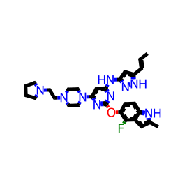 C/C=C/c1cc(Nc2cc(N3CCN(CCN4CCCC4)CC3)nc(Oc3ccc4[nH]c(C)cc4c3F)n2)n[nH]1